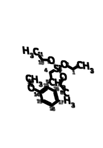 CCO[Si](CC)(OCC)OCC.COc1ccccc1